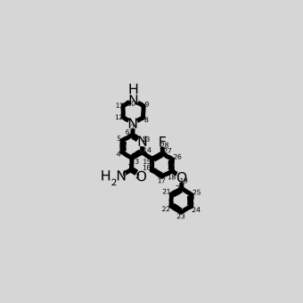 NC(=O)c1ccc(N2CCNCC2)nc1-c1ccc(Oc2ccccc2)cc1F